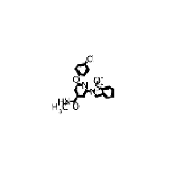 CNC(=O)c1cc(Oc2ccc(Cl)cc2)nc(N2Cc3ccccc3[S+]2[O-])c1